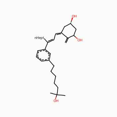 C=C1/C(=C\C=C(/CCCCCCC)c2cccc(CCCCCC(C)(C)O)c2)C[C@@H](O)CC1O